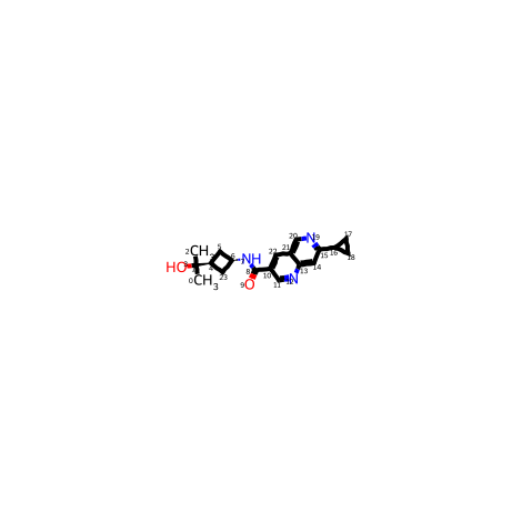 CC(C)(O)[C@H]1C[C@H](NC(=O)c2cnc3cc(C4CC4)ncc3c2)C1